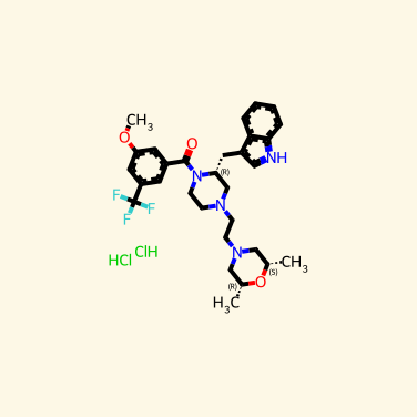 COc1cc(C(=O)N2CCN(CCN3C[C@@H](C)O[C@@H](C)C3)C[C@H]2Cc2c[nH]c3ccccc23)cc(C(F)(F)F)c1.Cl.Cl